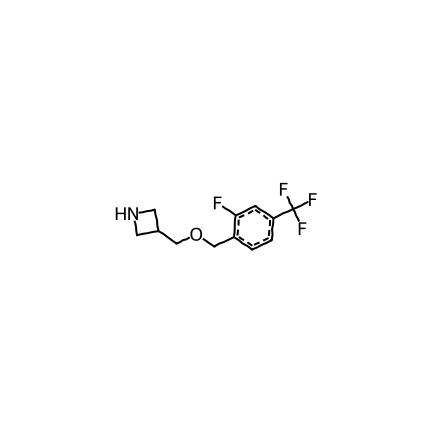 Fc1cc(C(F)(F)F)ccc1COCC1CNC1